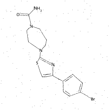 NC(=O)N1CCN(c2nc(-c3ccc(Br)cc3)cs2)CC1